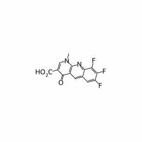 Cn1cc(C(=O)O)c(=O)c2cc3cc(F)c(F)c(F)c3nc21